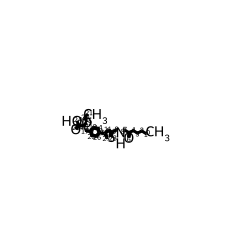 CCCCCC(=O)CNCc1cc(-c2ccc(C[C@H](OCC)C(=O)O)cc2)cs1